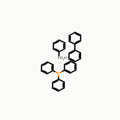 O=C(O)c1ccccc1.c1ccc(-c2ccccc2)cc1.c1ccc(P(c2ccccc2)c2ccccc2)cc1